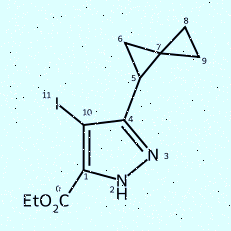 CCOC(=O)c1[nH]nc(C2CC23CC3)c1I